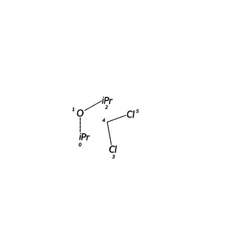 CC(C)OC(C)C.ClCCl